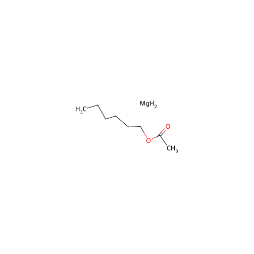 CCCCCCOC(C)=O.[MgH2]